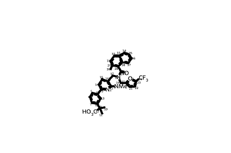 CNc1nc(-c2cccc(C(C)(C)C(=O)O)c2)ccc1CN(Cc1ccc(C(F)(F)F)o1)C(=O)c1c(C)ccc2ccccc12